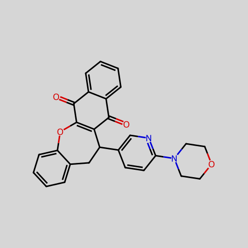 O=C1C2=C(C(=O)c3ccccc31)C(c1ccc(N3CCOCC3)nc1)Cc1ccccc1O2